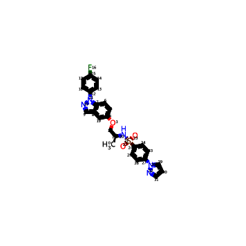 C[C@@H](COc1ccc2c(cnn2-c2ccc(F)cc2)c1)NS(=O)(=O)c1ccc(-n2cccn2)cc1